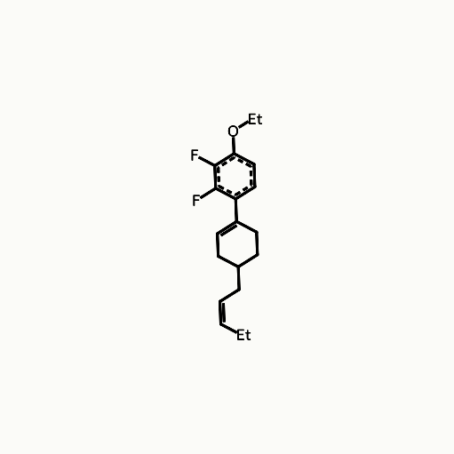 CC/C=C\CC1CC=C(c2ccc(OCC)c(F)c2F)CC1